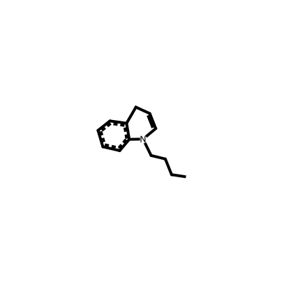 CCCCN1C=CCc2ccccc21